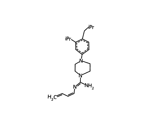 C=C/C=C\N=C(/N)N1CCN(c2ccc(CC(C)C)c(C(C)C)c2)CC1